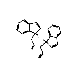 C=CC[C]1([Mg][C]2(CC=C)C=Cc3ccccc32)C=Cc2ccccc21